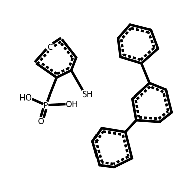 O=P(O)(O)c1ccccc1S.c1ccc(-c2cccc(-c3ccccc3)c2)cc1